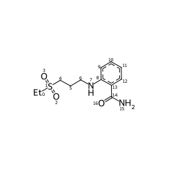 CCS(=O)(=O)CCCNc1ccccc1C(N)=O